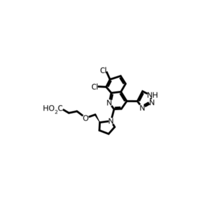 O=C(O)CCOC[C@@H]1CCCN1c1cc(-c2c[nH]nn2)c2ccc(Cl)c(Cl)c2n1